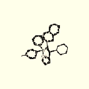 Cc1ccc([B-]2(c3ccccc3)C(c3ccc4ccccc4c3)=C(C3CCCCC3)c3ccc[o+]32)cc1